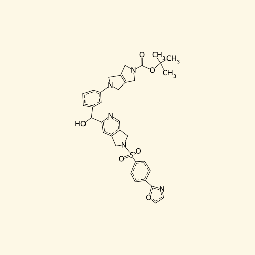 CC(C)(C)OC(=O)N1CC2=C(C1)CN(c1cccc(C(O)c3cc4c(cn3)CN(S(=O)(=O)c3ccc(-c5ncco5)cc3)C4)c1)C2